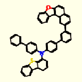 C1=CC(N(c2ccc(-c3ccccc3)cc2)c2ccc(-c3cccc(-c4ccc5ccc6oc7ccccc7c6c5c4)c3)cc2)=C2Sc3ccccc3C2C1